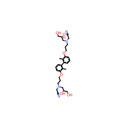 Cc1c(OCCCN(CC#N)C[C@H](O)CO)cccc1-c1cccc(OCCCN(CC#N)C[C@H](O)CO)c1C